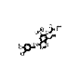 C=CCc1c(OCC(=O)OCC)c([N+](=O)[O-])cc2c(NCc3ccc(OC)c(Cl)c3)ncnc12